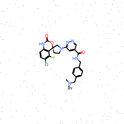 CC(C)N(C)Cc1ccc(CNC(=O)c2cnnc(N3CC[C@]4(C3)OC(=O)Nc3ccc(Cl)c(F)c34)c2)cc1